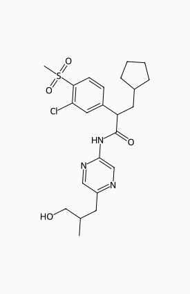 CC(CO)Cc1cnc(NC(=O)C(CC2CCCC2)c2ccc(S(C)(=O)=O)c(Cl)c2)cn1